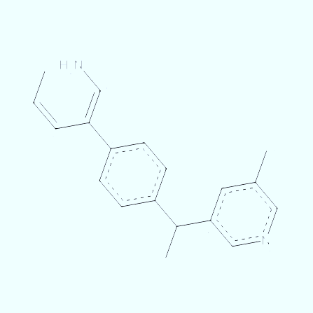 C/C=C\C(=C/N)c1ccc(C(C)c2cncc(C)c2)cc1